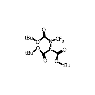 CC(C)(C)OC(=O)N(C(=O)OC(C)(C)C)N(C(=O)OC(C)(C)C)C(F)(F)F